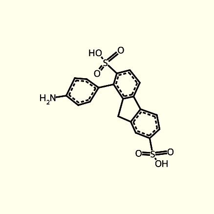 Nc1ccc(-c2c(S(=O)(=O)O)ccc3c2Cc2cc(S(=O)(=O)O)ccc2-3)cc1